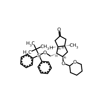 CC(C)(C)[Si](OC[C@@H]1[C@H]2CC(=O)C[C@@]2(C)C[C@H]1OC1CCCCO1)(c1ccccc1)c1ccccc1